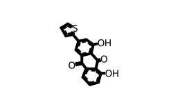 O=C1c2cccc(O)c2C(=O)c2c(O)cc(-c3cccs3)cc21